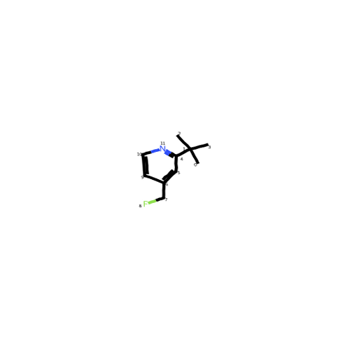 CC(C)(C)c1cc(CF)ccn1